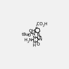 CC(C)(C)OC(=O)N[C@@H]1C[C@H](CC(=O)O)CC[C@H]1n1cnc2c(=O)[nH]c(N)nc21